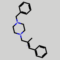 C/C(=C\c1ccccc1)CN1CCN(Cc2ccccc2)CC1